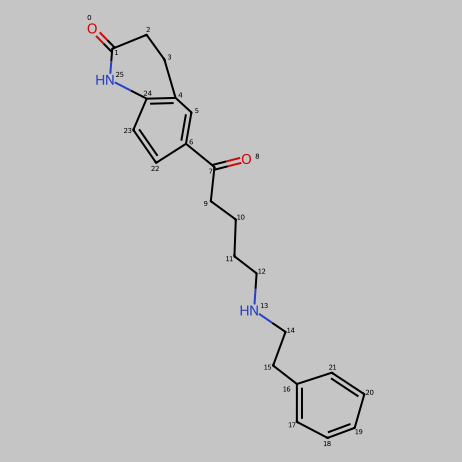 O=C1CCc2cc(C(=O)CCCCNCCc3ccccc3)ccc2N1